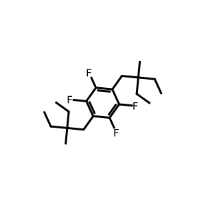 CCC(C)(CC)Cc1c(F)c(F)c(CC(C)(CC)CC)c(F)c1F